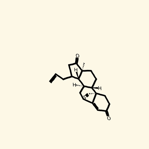 C=CCC1CC(=O)[C@@]2(C)CC[C@H]3[C@@H](CCC4=CC(=O)CC[C@@]43C=S)[C@H]12